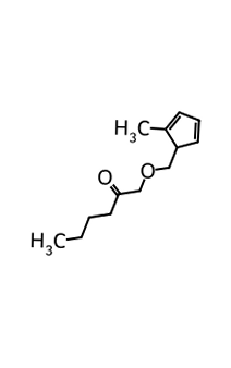 CCCCC(=O)COCC1C=CC=C1C